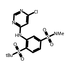 CNS(=O)(=O)c1ccc(S(=O)(=O)C(C)(C)C)c(Nc2cc(Cl)ncn2)c1